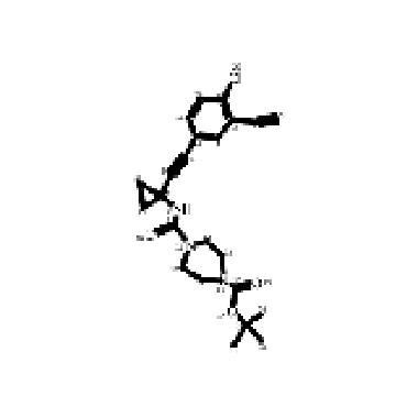 C#Cc1cc(C#CC2(NC(=O)N3CCN(C(=O)OC(C)(C)C)CC3)CC2)ccc1Cl